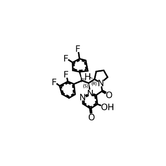 O=C1c2c(O)c(=O)cnn2[C@@H]([C@H](c2ccc(F)c(F)c2)c2cccc(F)c2F)[C@H]2CCCN12